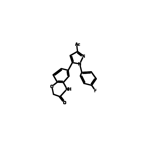 CC(=O)c1cc(-c2ccc3c(c2)NC(=O)CO3)n(-c2ccc(F)cc2)n1